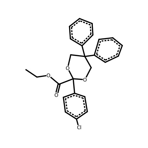 CCOC(=O)C1(c2ccc(Cl)cc2)OCC(c2ccccc2)(c2ccccc2)CO1